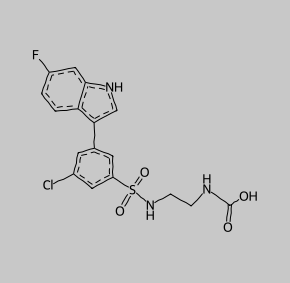 O=C(O)NCCNS(=O)(=O)c1cc(Cl)cc(-c2c[nH]c3cc(F)ccc23)c1